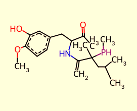 C=C(NC(Cc1ccc(OC)c(O)c1)C(C)=O)C(C)(CC(C)C)PC